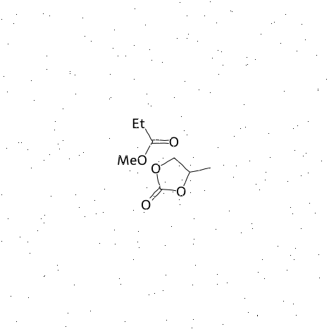 CC1COC(=O)O1.CCC(=O)OC